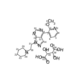 COc1ncccc1-c1ncnc2c1cnn2CCN1CCCCC1.O=C(O)C(O)C(O)C(=O)O